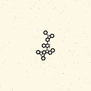 c1ccc(-n2c3ccccc3c3cc(-c4nnc(-n5c6cc7c8ccccc8n8c9ccccc9c(c6c6ccc9ccccc9c65)c78)c5ccccc45)ccc32)cc1